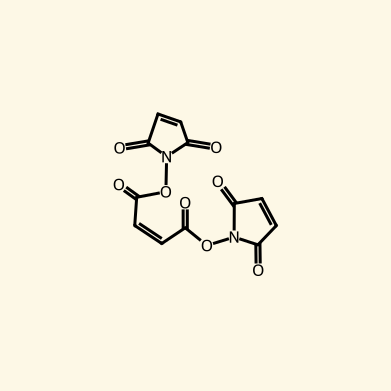 O=C(/C=C\C(=O)ON1C(=O)C=CC1=O)ON1C(=O)C=CC1=O